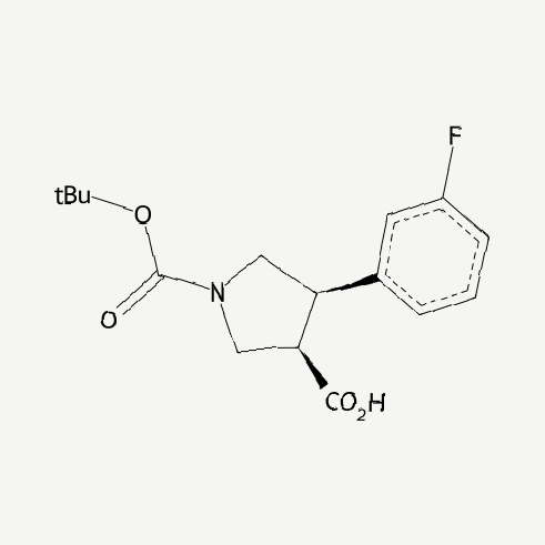 CC(C)(C)OC(=O)N1C[C@H](C(=O)O)[C@H](c2cccc(F)c2)C1